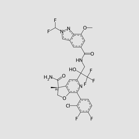 COc1cc(C(=O)NCC(O)(c2cc3c(c(-c4ccc(F)c(F)c4Cl)n2)OC[C@]3(C)C(N)=O)C(F)(F)F)cc2cn(C(F)F)nc12